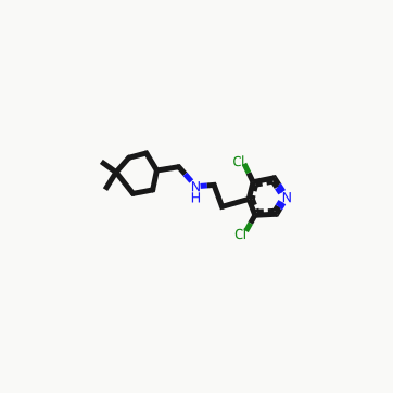 CC1(C)CCC(CNCCc2c(Cl)cncc2Cl)CC1